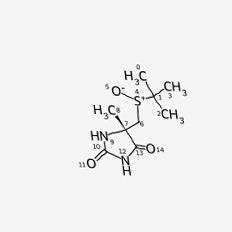 CC(C)(C)[S+]([O-])C[C@@]1(C)NC(=O)NC1=O